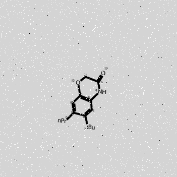 CCCc1cc2c(cc1C(C)CC)NC(=O)CO2